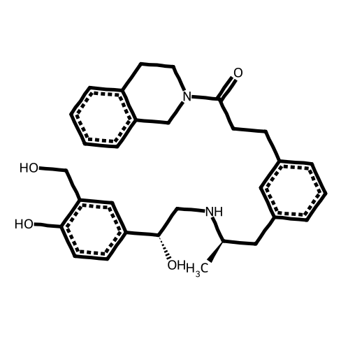 C[C@H](Cc1cccc(CCC(=O)N2CCc3ccccc3C2)c1)NC[C@H](O)c1ccc(O)c(CO)c1